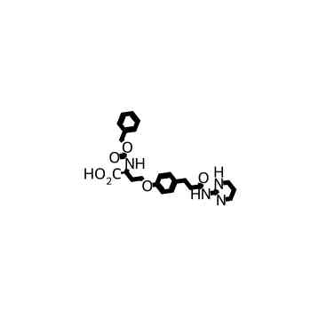 O=C(CCc1ccc(OCC[C@H](NC(=O)OCc2ccccc2)C(=O)O)cc1)NC1=NCCCN1